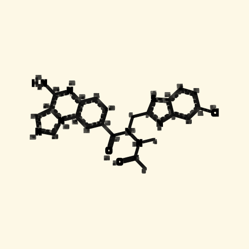 CC(=O)N(C)N(Cc1nc2cc(Cl)ccc2s1)C(=O)c1ccc2nc(N)c3cncn3c2c1